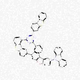 c1ccc(-c2nc(-c3ccc4c(c3)sc3ccccc34)nc(-c3cccc4sc5ccc(-c6ccc7c(c6)oc6ccc(-n8c9ccccc9c9ccccc98)cc67)cc5c34)n2)cc1